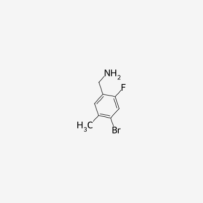 Cc1cc(CN)c(F)cc1Br